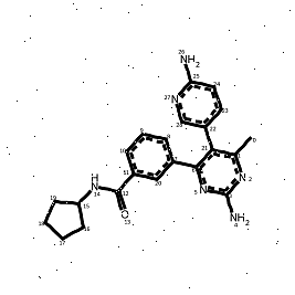 Cc1nc(N)nc(-c2cccc(C(=O)NC3CCCC3)c2)c1-c1ccc(N)nc1